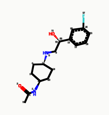 CC(=O)N[C@H]1CC[C@H](NC[C@H](O)c2cccc(F)c2)CC1